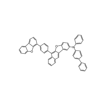 c1ccc(-c2ccc(N(c3ccccc3)c3ccc4oc5c(-c6ccc(-c7cccc8c7oc7ccccc78)cc6)c6ccccc6cc5c4c3)cc2)cc1